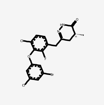 C[C@@H]1CC(Cc2ccc(Cl)c(Oc3cc(Cl)cc(Br)c3)c2F)=NNC1=O